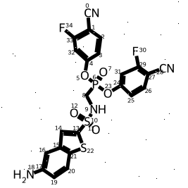 N#Cc1ccc(OP(=O)(CNS(=O)(=O)c2cc3cc(N)ccc3s2)Oc2ccc(C#N)c(F)c2)cc1F